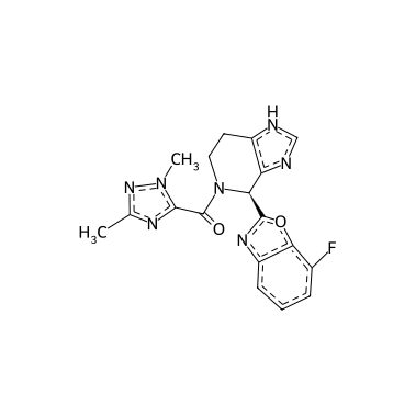 Cc1nc(C(=O)N2CCc3[nH]cnc3[C@H]2c2nc3cccc(F)c3o2)n(C)n1